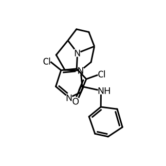 O=C(Nc1ccccc1)N1CCC2CCC(C1)N2c1c(Cl)cncc1Cl